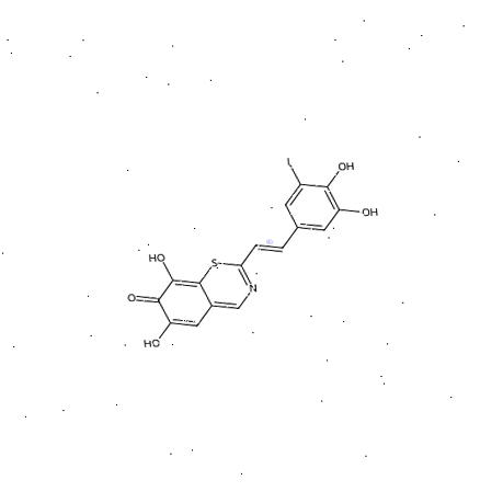 O=c1c(O)cc2cnc(/C=C/c3cc(O)c(O)c(I)c3)sc-2c1O